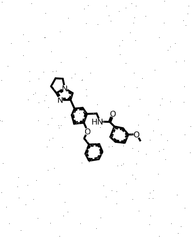 COc1cccc(C(=O)NCc2cc(-c3cn4c(n3)CCC4)ccc2OCc2ccccc2)c1